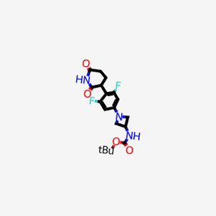 CC(C)(C)OC(=O)NC1CN(c2cc(F)c(C3CCC(=O)NC3=O)c(F)c2)C1